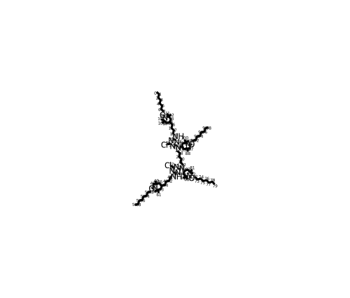 CCCCCCCCON1C(C)(C)CC(CCCCNc2nc(Cl)nc(N(CCCCCCN(c3nc(Cl)nc(NCCCCC4CC(C)(C)N(OCCCCCCCC)C(C)(C)C4)n3)C3CC(C)(C)N(OCCCCCCCC)C(C)(C)C3)C3CC(C)(C)N(OCCCCCCCC)C(C)(C)C3)n2)CC1(C)C